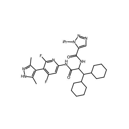 Cc1n[nH]c(C)c1-c1c(F)cc(NC(=O)C(NC(=O)c2cnnn2C(C)C)C(C2CCCCC2)C2CCCCC2)nc1F